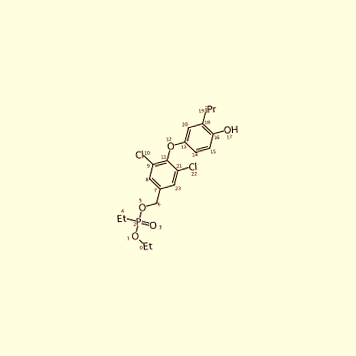 CCOP(=O)(CC)OCc1cc(Cl)c(Oc2ccc(O)c(C(C)C)c2)c(Cl)c1